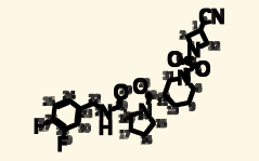 N#CC1CN(S(=O)(=O)N2CCC[C@H](C(=O)N3CCC[C@@H]3C(=O)NCc3ccc(F)c(F)c3)C2)C1